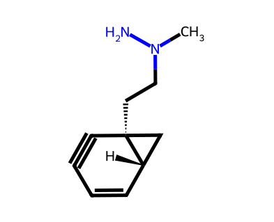 CN(N)CC[C@@]12C#CC=C[C@H]1C2